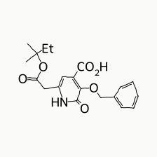 CCC(C)(C)OC(=O)Cc1cc(C(=O)O)c(OCc2ccccc2)c(=O)[nH]1